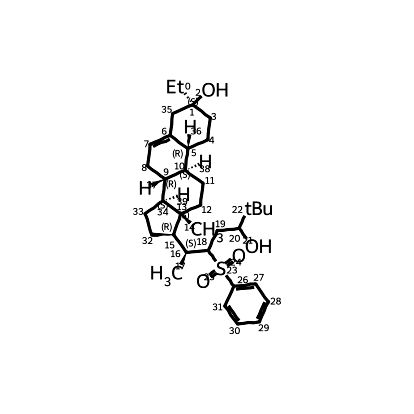 CC[C@]1(O)CC[C@H]2C(=CC[C@@H]3[C@@H]2CC[C@]2(C)[C@@H]([C@H](C)C(CC(O)C(C)(C)C)S(=O)(=O)c4ccccc4)CC[C@@H]32)C1